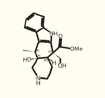 COC(=O)[C@]1(CO)c2[nH]c3ccccc3c2[C@@H](C)[C@]2(O)CNCC[C@@H]21